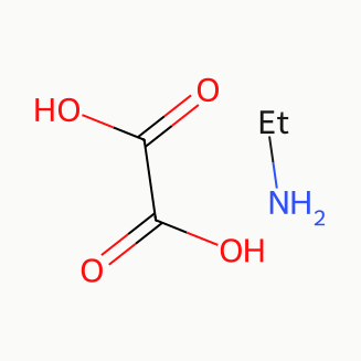 CCN.O=C(O)C(=O)O